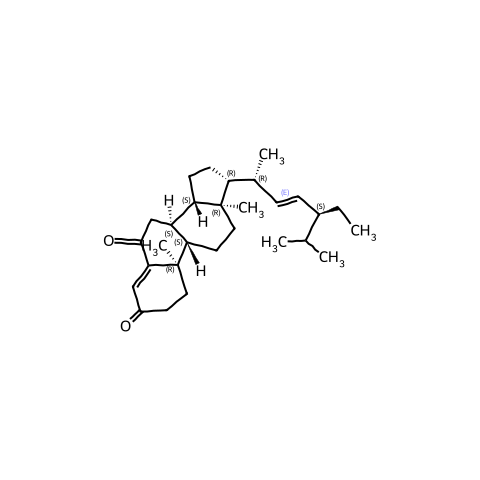 CC[C@H](/C=C/[C@@H](C)[C@H]1CC[C@H]2[C@@H]3CC(=O)C4=CC(=O)CC[C@]4(C)[C@H]3CC[C@]12C)C(C)C